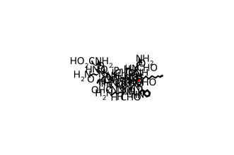 C=CCCCCCC[C@@](C)(NC)C(=O)N[C@@H](N[C@H](C=O)CC(N)=O)C(=O)N[C@@H](N[C@H](C=O)CC(C)C)C(=O)N[C@@H](N[C@H](C=O)Cc1c[nH]c2ccccc12)C(=O)N[C@@H](N[C@H](C=O)CCCCN)C(=O)N[C@@H](N[C@H](C=O)CC(C)C)C(=O)N[C@@H](N[C@H](C=O)CC(C)C)C(=O)N[C@@](C)(CCCC=C)C(=O)N[C@@H](CCC(N)=O)C(=O)N[C@@H](CC(=O)O)C(N)=O